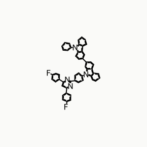 Fc1ccc(-c2cc(-c3ccc(F)cc3)nc(-c3ccc(-n4c5ccccc5c5ccc(-c6ccc7c(c6)c6ccccc6n7-c6ccccc6)cc54)cc3)n2)cc1